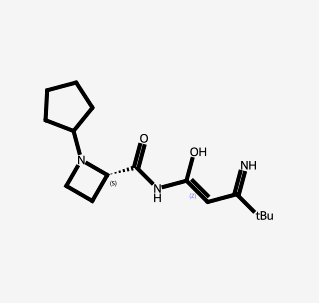 CC(C)(C)C(=N)/C=C(\O)NC(=O)[C@@H]1CCN1C1CCCC1